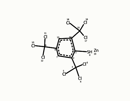 Sc1c(C(Cl)(Cl)Cl)cc(C(Cl)(Cl)Cl)cc1C(Cl)(Cl)Cl.[Zn]